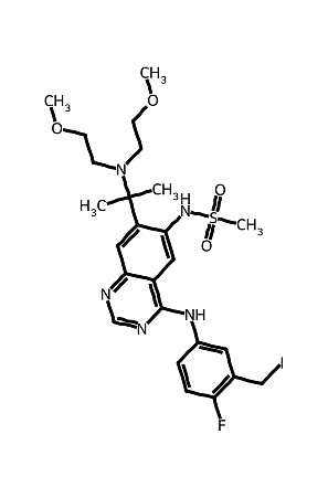 COCCN(CCOC)C(C)(C)c1cc2ncnc(Nc3ccc(F)c(CI)c3)c2cc1NS(C)(=O)=O